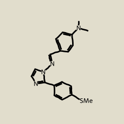 CSc1ccc(-c2nccn2/N=C/c2ccc(N(C)C)cc2)cc1